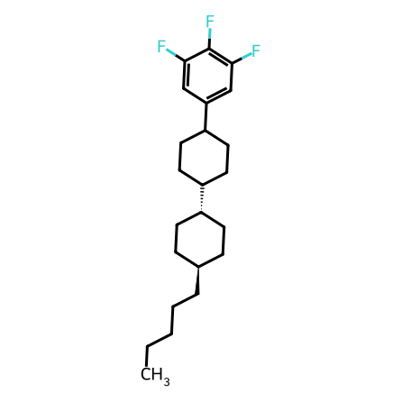 CCCCC[C@H]1CC[C@H](C2CCC(c3cc(F)c(F)c(F)c3)CC2)CC1